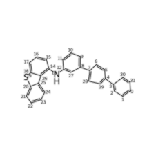 c1ccc(-c2ccc(-c3cccc(Nc4cccc5sc6ccccc6c45)c3)cc2)cc1